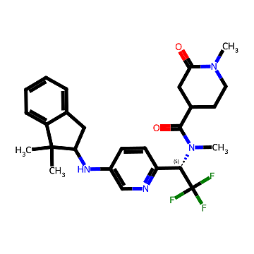 CN1CCC(C(=O)N(C)[C@@H](c2ccc(NC3Cc4ccccc4C3(C)C)cn2)C(F)(F)F)CC1=O